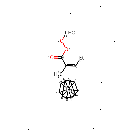 CCC=C(C)C(=O)OOC=O.[CH]12[CH]3[CH]4[CH]5[CH]1[Fe]23451678[CH]2[CH]1[CH]6[CH]7[CH]28